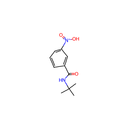 CC(C)(C)NC(=O)c1cccc([N+](=O)O)c1